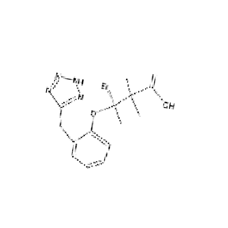 C=C(O)C(C)(C)[C@](C)(CC)Oc1ccccc1Cc1nn[nH]n1